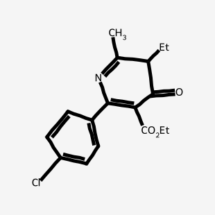 CCOC(=O)C1=C(c2ccc(Cl)cc2)N=C(C)C(CC)C1=O